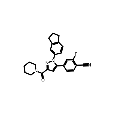 N#Cc1ccc(-c2cc(C(=O)N3CCCCC3)nn2-c2ccc3c(c2)CCC3)cc1F